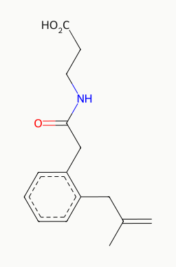 C=C(C)Cc1ccccc1CC(=O)NCCC(=O)O